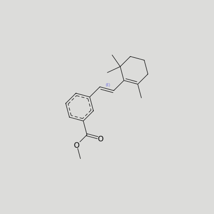 COC(=O)c1cccc(/C=C/C2=C(C)CCCC2(C)C)c1